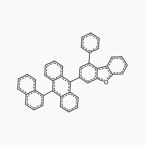 c1ccc(-c2cc(-c3c4ccccc4c(-c4cccc5ccccc45)c4ccccc34)cc3oc4ccccc4c23)cc1